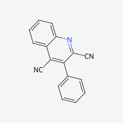 N#Cc1nc2ccccc2c(C#N)c1-c1ccccc1